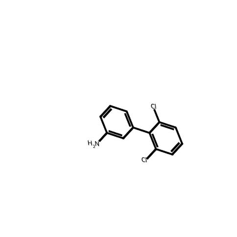 Nc1cccc(-c2c(Cl)cccc2Cl)c1